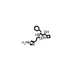 Nn1cnc(CCC(=O)N[C@@H](CC2CCCCC2)[C@@H](O)[C@@H](O)C2CCC2)c1